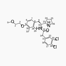 COCCOc1ccc(C[C@H](NC(=O)Cc2ccc(Cl)c(Cl)c2)C2CCCN2)c(C)c1C